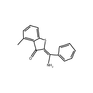 Cc1cccc2c1C(=O)/C(=C(\N)c1ccccc1)S2